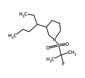 CCCC(CC)C1CCCN(S(=O)(=O)C(C)(C)F)C1